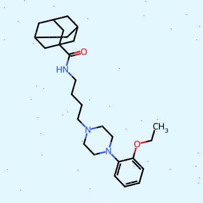 CCOc1ccccc1N1CCN(CCCCNC(=O)C23CC4CC(CC(C4)C2)C3)CC1